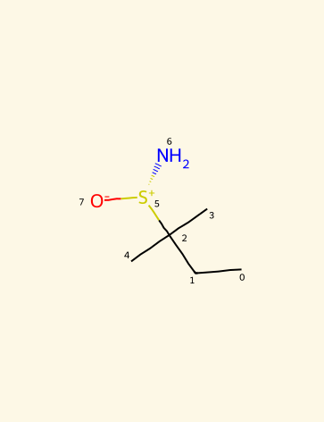 CCC(C)(C)[S@@+](N)[O-]